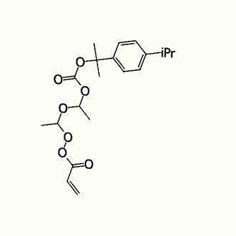 C=CC(=O)OOC(C)OC(C)OC(=O)OC(C)(C)c1ccc(C(C)C)cc1